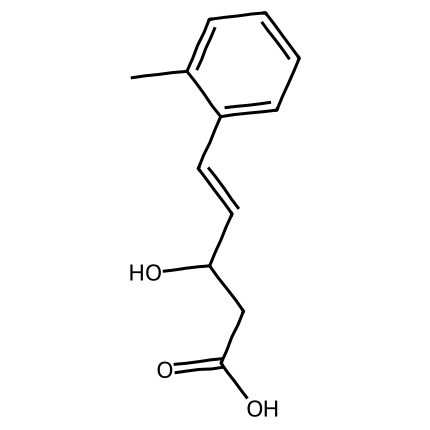 Cc1ccccc1C=CC(O)CC(=O)O